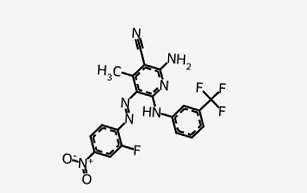 Cc1c(C#N)c(N)nc(Nc2cccc(C(F)(F)F)c2)c1N=Nc1ccc([N+](=O)[O-])cc1F